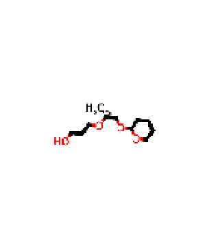 C[C@H](COC1CCCCO1)OCCCO